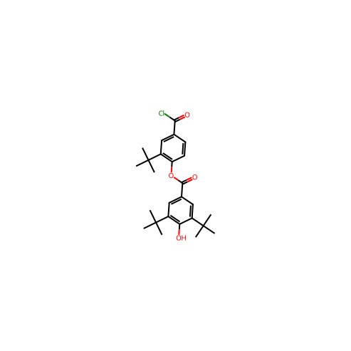 CC(C)(C)c1cc(C(=O)Cl)ccc1OC(=O)c1cc(C(C)(C)C)c(O)c(C(C)(C)C)c1